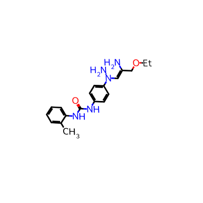 CCOC/C(N)=C/N(N)c1ccc(NC(=O)Nc2ccccc2C)cc1